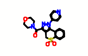 O=C(c1nn(-c2ccncc2)c2c1CS(=O)(=O)c1ccccc1-2)N1CCOCC1